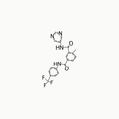 Cc1ccc(C(=O)Nc2ccc(C(F)(F)F)cc2)cc1C(=O)Nc1cncnc1